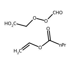 C=COC(=O)CCC.O=COOCC(=O)O